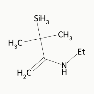 C=C(NCC)C(C)(C)[SiH3]